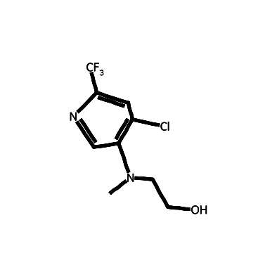 CN(CCO)c1cnc(C(F)(F)F)cc1Cl